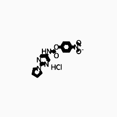 Cl.O=C(Nc1cnc(N2CCCC2)nc1)Oc1ccc([N+](=O)[O-])cc1